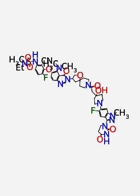 CCN(C)S(=O)(=O)Nc1ccc(F)c(Oc2ccc3ncn(C4COC5(CCN(C(=O)CC6(O)CCN(c7cc8c(cc7F)c(N7CCC(=O)NC7=O)nn8C)CC6)CC5)C4)c(=O)c3c2N(C)C)c1C#N